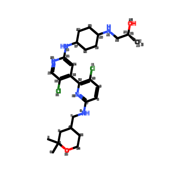 CC1(C)CC(CNc2ccc(Cl)c(-c3cc(NC4CCC(NC[C@@H](O)C(F)(F)F)CC4)ncc3Cl)n2)CCO1